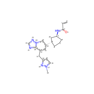 C=CC(=O)N[C@H]1CCC[C@H](c2cc(Cc3ccn(C)n3)c3ncnn3c2)C1